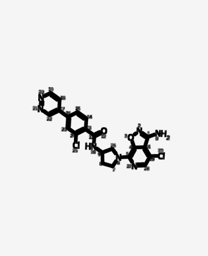 Nc1noc2c(N3CCC(NC(=O)c4ccc(-c5ccnnc5)cc4Cl)C3)ncc(Cl)c12